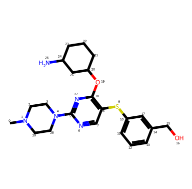 CN1CCN(c2ncc(Sc3cccc(CO)c3)c(OC3CCCC(N)C3)n2)CC1